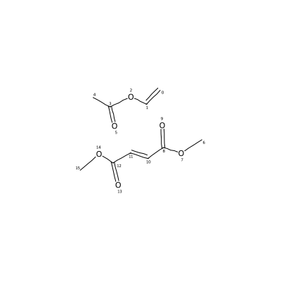 C=COC(C)=O.COC(=O)C=CC(=O)OC